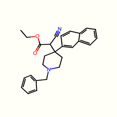 CCOC(=O)C(C#N)C1(c2ccc3ccccc3c2)CCN(Cc2ccccc2)CC1